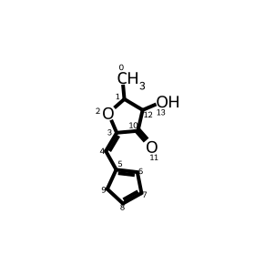 CC1O/C(=C/C2=CC=CC2)C(=O)C1O